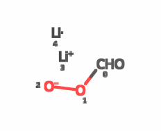 O=CO[O-].[Li+].[Li]